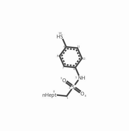 CCCCCCCCS(=O)(=O)Nc1ccc(S)cc1